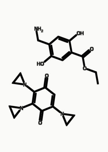 CCOC(=O)c1cc(O)c(CN)cc1O.O=C1C=C(N2CC2)C(=O)C(N2CC2)=C1N1CC1